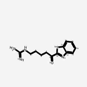 N=C(N)NCCC[CH]C(=O)c1nc2ccccc2s1